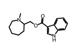 CN1CCCCCC1COC(=O)c1c[nH]c2ccccc12